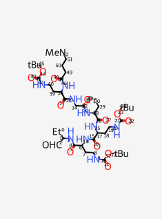 CCC(C=O)NC(=O)C(CCNC(=O)OC(C)(C)C)NC(=O)C(CCNC(=O)OC(C)(C)C)NC(=O)C(CC(C)C)NC(=O)CNC(=O)C(CCNC(=O)OC(C)(C)C)NC(=O)CCCNC